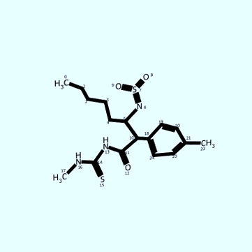 CCCCCC(N=S(=O)=O)C(C(=O)NC(=S)NC)c1ccc(C)cc1